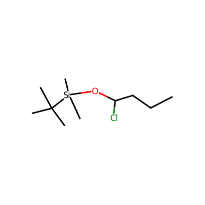 CCCC(Cl)O[Si](C)(C)C(C)(C)C